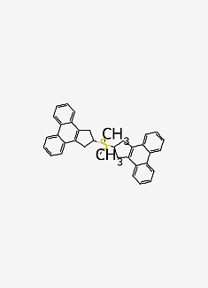 CS(C)(C1Cc2c(c3ccccc3c3ccccc23)C1)C1Cc2c(c3ccccc3c3ccccc23)C1